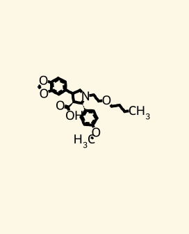 CCCCOCCN1CC(c2ccc3c(c2)OCO3)[C@H](C(=O)O)[C@H]1c1ccc(OC)cc1